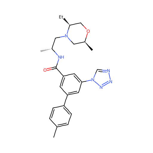 CC[C@H]1CO[C@@H](C)CN1C[C@@H](C)NC(=O)c1cc(-c2ccc(C)cc2)cc(-n2cnnn2)c1